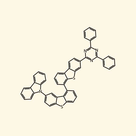 c1ccc(-c2nc(-c3ccccc3)nc(-c3ccc4c(c3)sc3c(-c5cccc6sc7ccc(-n8c9ccccc9c9ccccc98)cc7c56)cccc34)n2)cc1